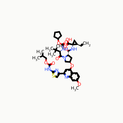 C=C[C@@H]1C[C@]1(NC(=O)[C@@H]1C[C@@H](Oc2cc(-c3csc(NC(=O)OCC(C)C)n3)nc3cc(OC)ccc23)CN1C(=O)[C@@H](NC(=O)OC1CCCC1)C(C)(C)C)C(=O)O